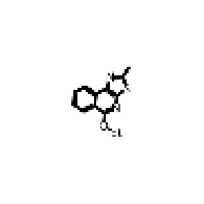 CCOc1nc2sc(C)nc2c2ccccc12